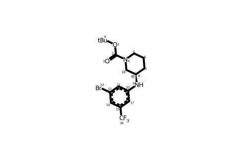 CC(C)(C)OC(=O)N1CCC[C@@H](Nc2cc(Br)cc(C(F)(F)F)c2)C1